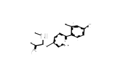 CN[C@@H](Cc1ccc(-c2ccc(F)cc2C)nc1)C(C)=O